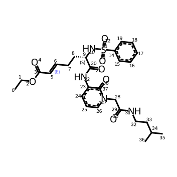 CCOC(=O)/C=C/CC[C@H](NS(=O)(=O)c1ccccc1)C(=O)Nc1cccn(CC(=O)NCCC(C)C)c1=O